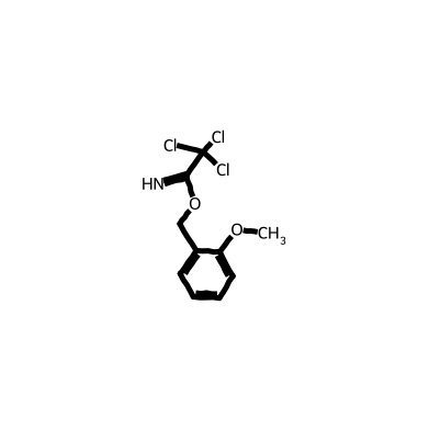 COc1ccccc1COC(=N)C(Cl)(Cl)Cl